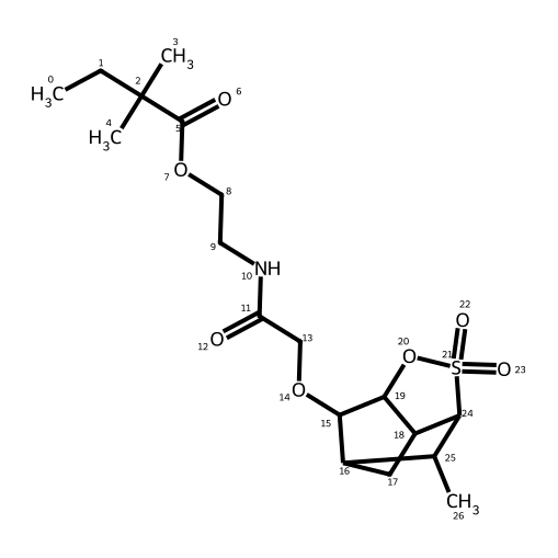 CCC(C)(C)C(=O)OCCNC(=O)COC1C2CC3C1OS(=O)(=O)C3C2C